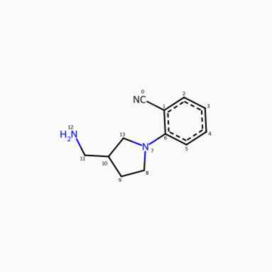 N#Cc1ccccc1N1CCC(CN)C1